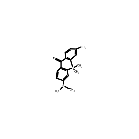 CN(C)c1ccc2c(c1)[Si](C)(C)c1cc(N)ccc1C2=O